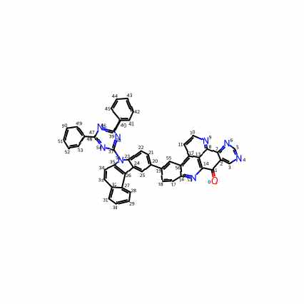 O=C1c2cncnc2-c2nccc3c2c1nc1ccc(-c2ccc4c(c2)c2c5ccccc5ccc2n4-c2nc(-c4ccccc4)nc(-c4ccccc4)n2)cc13